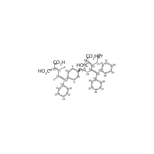 CC(C(C)=C(c1ccccc1)c1ccccc1)=C(C(=O)O)C(=O)O.CC(C)CC(C(CC(C)C)=C(c1ccccc1)c1ccccc1)=C(C(=O)O)C(=O)O